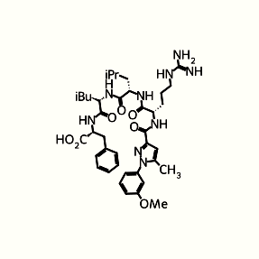 CC[C@H](C)[C@H](NC(=O)[C@H](CC(C)C)NC(=O)[C@H](CCCNC(=N)N)NC(=O)c1cc(C)n(-c2cccc(OC)c2)n1)C(=O)N[C@@H](Cc1ccccc1)C(=O)O